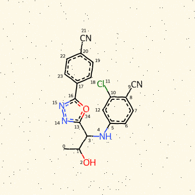 CC(O)C(Nc1ccc(C#N)c(Cl)c1)c1nnc(-c2ccc(C#N)cc2)o1